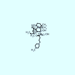 C=C[C@@]1(C)CC(=O)[C@]2(O)[C@@]3(C)[C@@H](O)CCC(C)(C)[C@@H]3[C@H](O)[C@H](OC(=O)CCCN3CCN(C)CC3)[C@@]2(C)O1.Cl.Cl